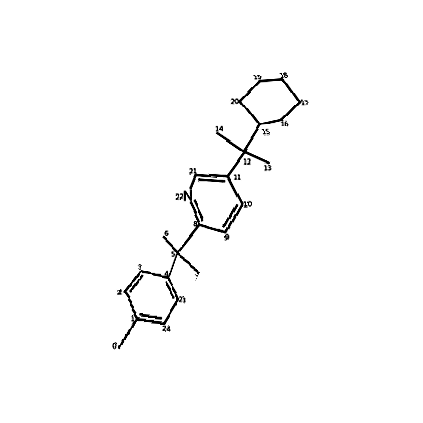 Cc1ccc(C(C)(C)c2ccc(C(C)(C)C3CCCCC3)cn2)cc1